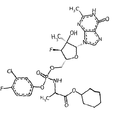 Cc1nc2c(ncn2[C@@H]2O[C@H](COP(=O)(NC(C)C(=O)OC3CCCCC3)Oc3ccc(F)c(Cl)c3)[C@@H](F)[C@@]2(C)O)c(=O)[nH]1